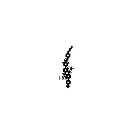 CCCCCC1CCC(COc2c(C)cc(-c3ccc4c(c3O)C(=O)c3ccc(-c5ccc(C(C)(C)C)cc5)c(O)c3C4=O)cc2C)CC1